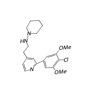 COc1cc(-c2cc(CCNN3CCCCC3)ccn2)cc(OC)c1Cl